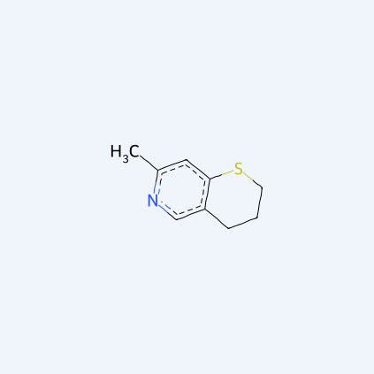 Cc1cc2c(cn1)CCCS2